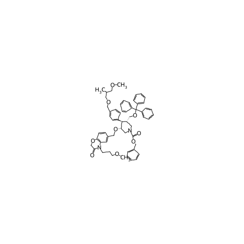 COCCCN1C(=O)COc2ccc(CO[C@H]3CN(C(=O)OCc4ccccc4)C[C@@H](COC(c4ccccc4)(c4ccccc4)c4ccccc4)[C@@H]3c3ccc(COC[C@@H](C)COC)cc3)cc21